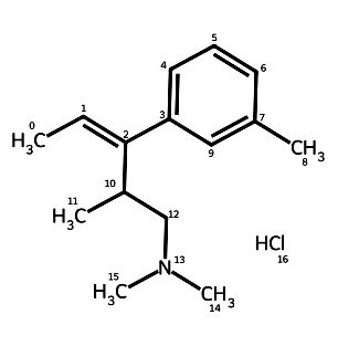 C/C=C(/c1cccc(C)c1)C(C)CN(C)C.Cl